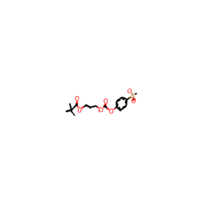 CC(C)(C)C(=O)OCCCOC(=O)Oc1ccc(S(C)(=O)=O)cc1